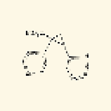 CCOC(=O)C1(c2ccccc2)CC1c1ccccn1